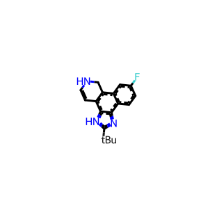 CC(C)(C)c1nc2c([nH]1)c1c(c3cc(F)ccc32)CNC=C1